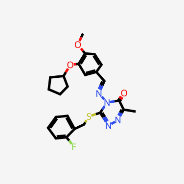 COc1ccc(C=Nn2c(SCc3ccccc3F)nnc(C)c2=O)cc1OC1CCCC1